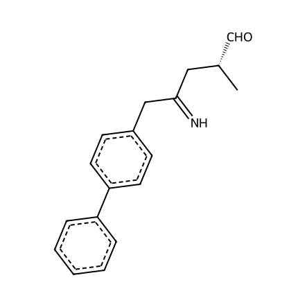 C[C@@H](C=O)CC(=N)Cc1ccc(-c2ccccc2)cc1